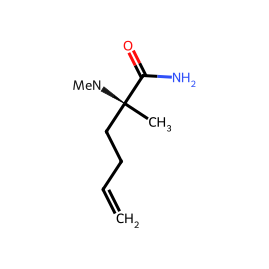 C=CCC[C@](C)(NC)C(N)=O